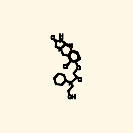 O=C1CN2Cc3c(ccc(OCC(=O)N(CCO)C4CCCCC4)c3Cl)N=C2N1